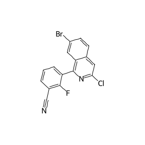 N#Cc1cccc(-c2nc(Cl)cc3ccc(Br)cc23)c1F